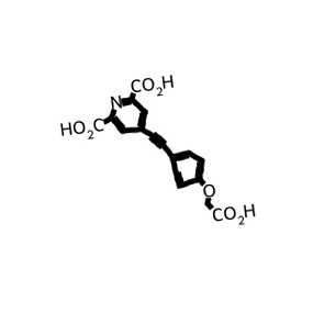 O=C(O)COc1ccc(C#Cc2cc(C(=O)O)nc(C(=O)O)c2)cc1